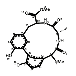 CNC1C(=O)N[C@@H](C)C(=O)NC(C(=O)OC)Cc2ccc(O)c(c2)-c2cc1ccc2O